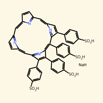 O=S(=O)(O)c1ccc(C2=CC3=CC4=NC(=CC5=NC(=CC6=NC(=C(c7ccc(S(=O)(=O)O)cc7)C2=N3)C(c2ccc(S(=O)(=O)O)cc2)=C6c2ccc(S(=O)(=O)O)cc2)C=C5)C=C4)cc1.[NaH]